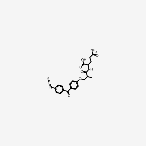 CC(COc1ccc(C(=O)c2ccc(N=C=S)cc2)cc1)C(=O)NC(CCC(N)=O)C(=O)O